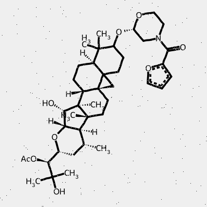 CC(=O)O[C@@H]([C@H]1C[C@@H](C)[C@H]2[C@H](O1)[C@H](O)[C@@]1(C)[C@@H]3CC[C@H]4C(C)(C)C(O[C@H]5CN(C(=O)c6ccco6)CCO5)CCC45C[C@@]35CC[C@]21C)C(C)(C)O